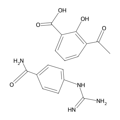 CC(=O)c1cccc(C(=O)O)c1O.N=C(N)Nc1ccc(C(N)=O)cc1